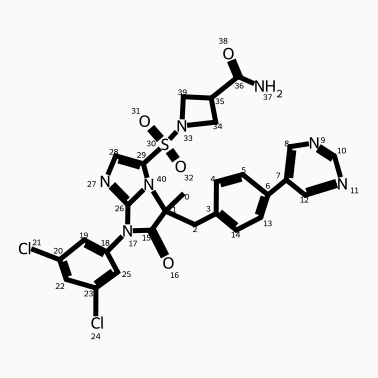 CC1(Cc2ccc(-c3cncnc3)cc2)C(=O)N(c2cc(Cl)cc(Cl)c2)c2ncc(S(=O)(=O)N3CC(C(N)=O)C3)n21